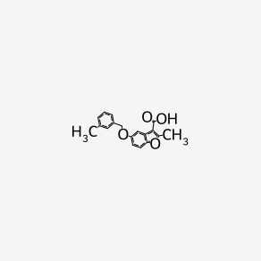 Cc1cccc(COc2ccc3oc(C)c(C(=O)O)c3c2)c1